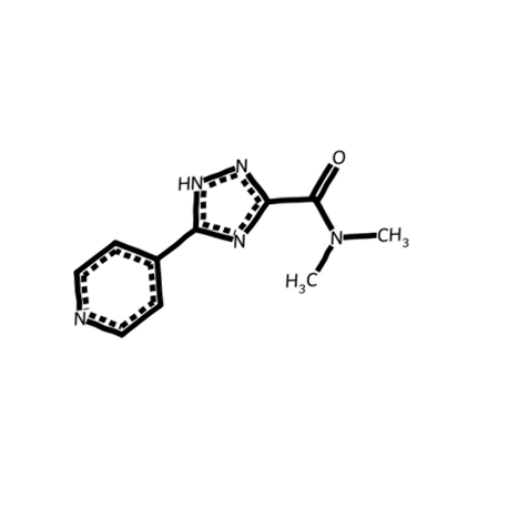 CN(C)C(=O)c1n[nH]c(-c2ccncc2)n1